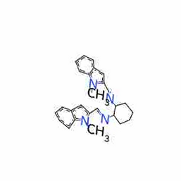 Cn1c(C=NC2CCCCC2N=Cc2cc3ccccc3n2C)cc2ccccc21